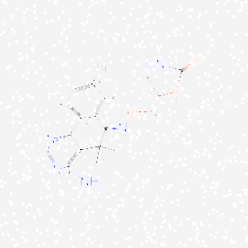 CC1(C)/C(=N/OC[C@@H]2CNC(=O)O2)c2cc(Br)ccc2-c2ncnc(N)c21